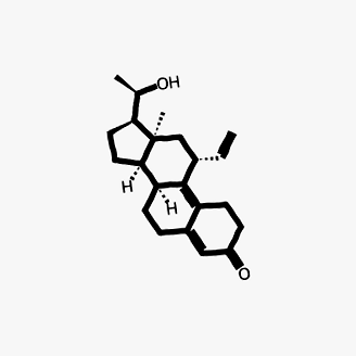 C=C[C@H]1C[C@@]2(C)[C@H](CC[C@H]2[C@@H](C)O)[C@@H]2CCC3=CC(=O)CCC3=C21